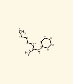 CSCCOC(C)OC1CCCCC1